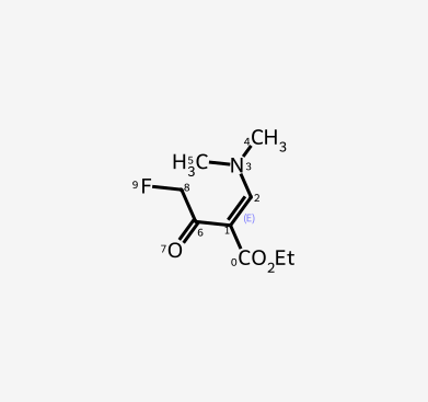 CCOC(=O)/C(=C/N(C)C)C(=O)CF